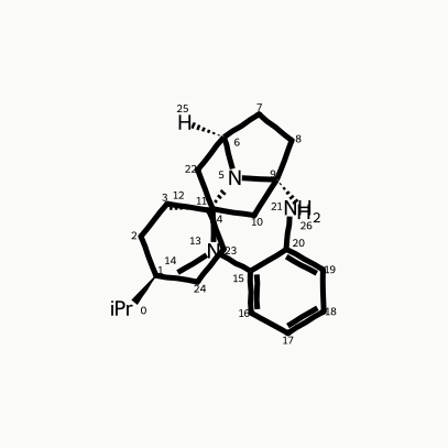 CC(C)[C@H]1CC[C@H](N2[C@@H]3CC[C@H]2C[C@@](C)(N(C)c2ccccc2N)C3)CC1